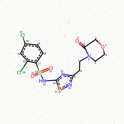 O=C1COCCN1CCc1nsc(NS(=O)(=O)c2ccc(Cl)cc2Cl)n1